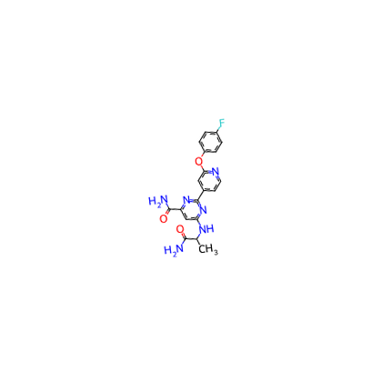 CC(Nc1cc(C(N)=O)nc(-c2ccnc(Oc3ccc(F)cc3)c2)n1)C(N)=O